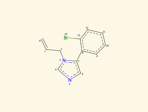 C=CCn1cncc1-c1ccccc1Br